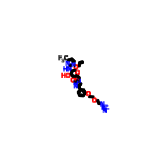 C=CCOC1OC(Cn2cc(-c3cccc(OCCOCCN=[N+]=[N-])c3)nn2)C(O)C(O)C1Nc1nccc(C(F)(F)F)n1